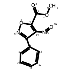 COC(=O)c1onc(-c2ccccc2)c1N=O